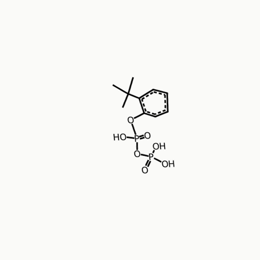 CC(C)(C)c1ccccc1OP(=O)(O)OP(=O)(O)O